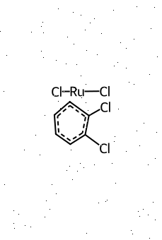 Clc1ccccc1Cl.[Cl][Ru][Cl]